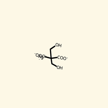 O=C([O-])C(CO)(CO)C(=O)[O-].[Ag+2]